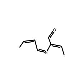 C\C=C/C=N\C(C=O)=C/C